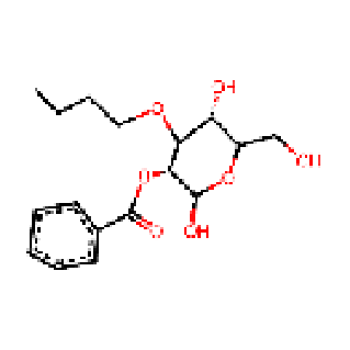 CCCCOC1[C@H](O)C(CO)O[C@@H](O)[C@H]1OC(=O)c1ccccc1